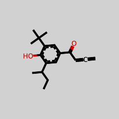 C=C=CC(=O)c1cc(C(C)CC)c(O)c(C(C)(C)C)c1